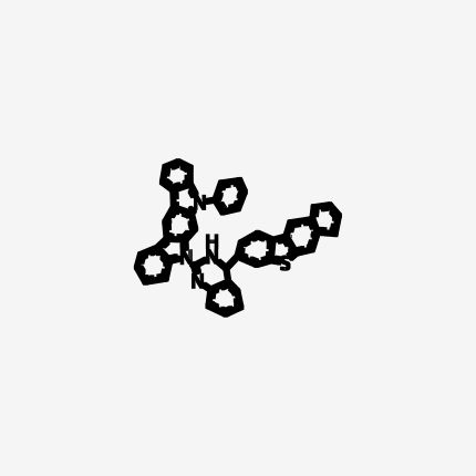 c1ccc(-n2c3ccccc3c3cc4c5ccccc5n(C5=Nc6ccccc6C(c6ccc7c(c6)sc6cc8ccccc8cc67)N5)c4cc32)cc1